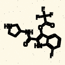 O=C(NC1CCNC1)c1[nH]c2c(F)cccc2c1OC(=O)C(F)(F)F